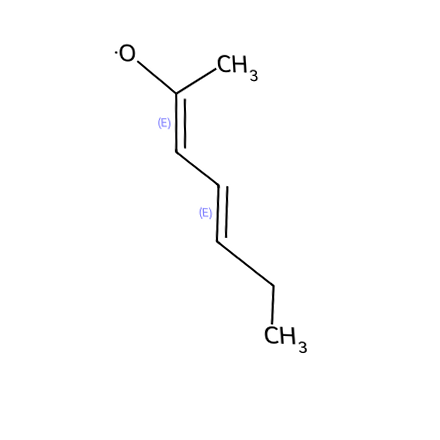 CC/C=C/C=C(\C)[O]